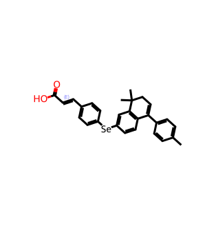 Cc1ccc(C2=CCC(C)(C)c3cc([Se]c4ccc(/C=C/C(=O)O)cc4)ccc32)cc1